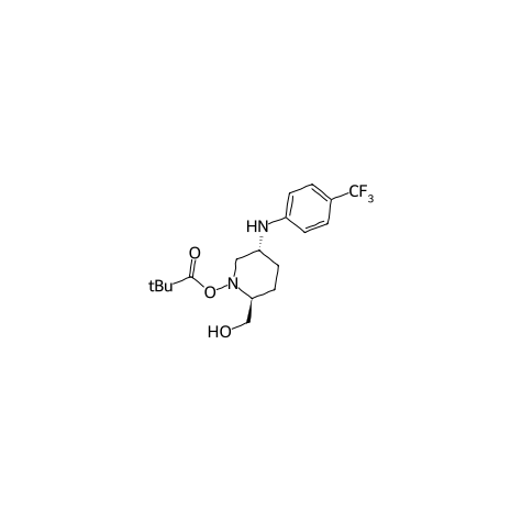 CC(C)(C)C(=O)ON1C[C@H](Nc2ccc(C(F)(F)F)cc2)CC[C@H]1CO